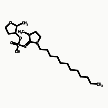 CCCCCCCCCCCCN1CCN(C)C1=NP(=O)(O)OC1CCOC1C